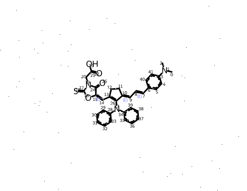 CN(C)c1ccc(/C=C/C=C2\CCC(/C=C3/OC(=S)N(CC(=O)O)C3=O)=C2N(c2ccccc2)c2ccccc2)cc1